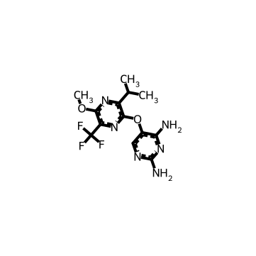 COc1nc(C(C)C)c(Oc2cnc(N)nc2N)nc1C(F)(F)F